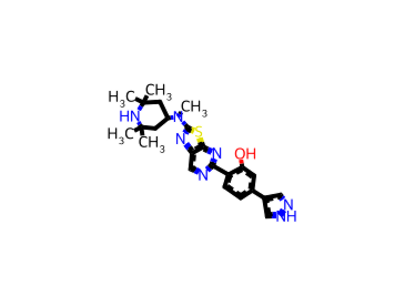 CN(c1nc2cnc(-c3ccc(-c4cn[nH]c4)cc3O)nc2s1)C1CC(C)(C)NC(C)(C)C1